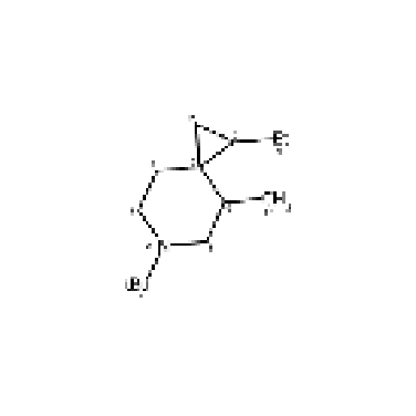 CCC1CC12CCN(C(C)(C)C)CC2C